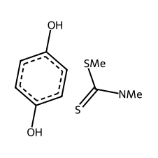 CNC(=S)SC.Oc1ccc(O)cc1